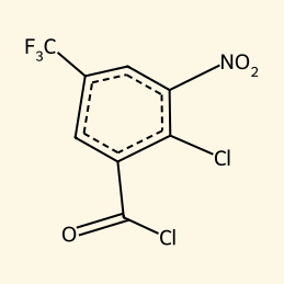 O=C(Cl)c1cc(C(F)(F)F)cc([N+](=O)[O-])c1Cl